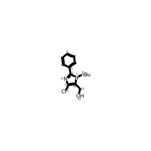 CCCCn1c(-c2ccccc2)nc(Cl)c1CO